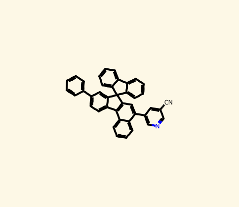 N#Cc1cncc(-c2cc3c(c4ccccc24)-c2ccc(-c4ccccc4)cc2C32c3ccccc3-c3ccccc32)c1